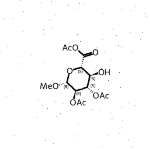 CO[C@@H]1O[C@H](C(=O)OC(C)=O)[C@@H](O)[C@H](OC(C)=O)[C@H]1OC(C)=O